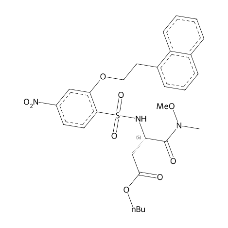 CCCCOC(=O)C[C@H](NS(=O)(=O)c1ccc([N+](=O)[O-])cc1OCCc1cccc2ccccc12)C(=O)N(C)OC